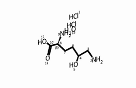 Cl.Cl.NCC(O)CC[C@H](N)C(=O)O.O